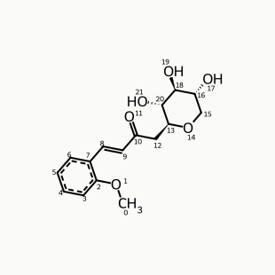 COc1ccccc1/C=C/C(=O)C[C@@H]1OC[C@@H](O)[C@H](O)[C@H]1O